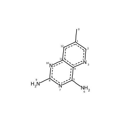 Cc1cnc2c(N)nc(N)nc2c1